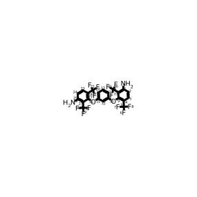 Nc1ccc(C(F)(F)F)c(Oc2cccc(Oc3c(C(F)(F)F)ccc(N)c3C(F)(F)F)c2)c1C(F)(F)F